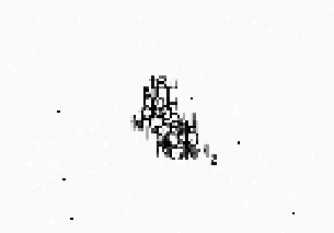 CN(C)c1cc(CNCC(C)(C)C)c(O)c2c1C[C@H]1C[C@H]3[C@H](N(C)C)C(O)C(C(N)=O)C(=O)[C@@]3(O)C(O)=C1C2=O